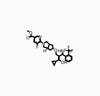 COC(=O)c1cnc(N2CC3C[C@H](OC/C(C(=N)c4ccccc4C(F)(F)F)=C(/O)C4CC4)C[C@H]3C2)c(F)c1